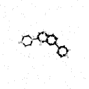 c1cc(-c2ccc3ncc(N4CCOCC4)nc3c2)ccn1